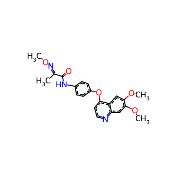 CO/N=C(\C)C(=O)Nc1ccc(Oc2ccnc3cc(OC)c(OC)cc23)cc1